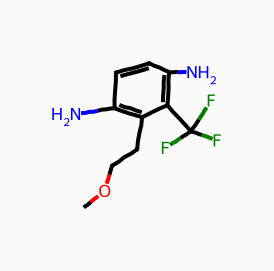 COCCc1c(N)ccc(N)c1C(F)(F)F